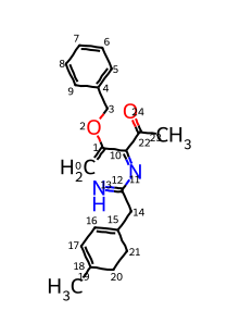 C=C(OCc1ccccc1)/C(=N\C(=N)CC1=CC=C(C)CC1)C(C)=O